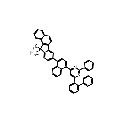 CC1(C)c2ccc(-c3ccc(-c4cc(-c5ccccc5-c5ccccc5)nc(-c5ccccc5)n4)c4ccccc34)cc2-c2ccc3ccccc3c21